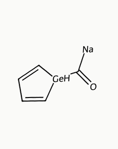 O=[C]([Na])[GeH]1[CH]=CC=[CH]1